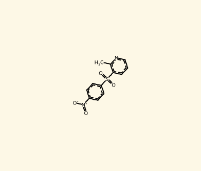 Cc1ncccc1S(=O)(=O)c1ccc([N+](=O)[O-])cc1